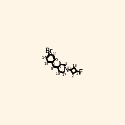 FC1CC(N2CCC(=Cc3ccc(Br)cc3)CC2)C1